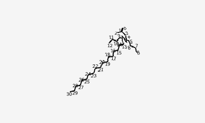 C=C(C)C[N+](CCCC)(CCCC)CCCCCCCCCCCCCCCCCC